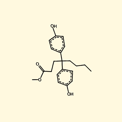 CCCCC(CCC(=O)OC)(c1ccc(O)cc1)c1ccc(O)cc1